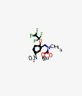 CN(Cc1cc([N+](=O)[O-])ccc1OC(F)(F)C(F)F)C(=O)OC(C)(C)C